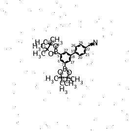 CC1(C)OB(c2cc(B3OC(C)(C)C(C)(C)O3)cc(-c3ccc(C#N)cc3)c2)OC1(C)C